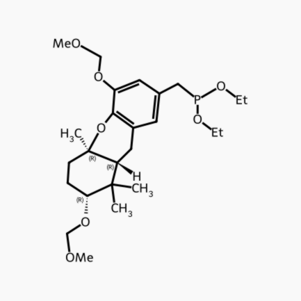 CCOP(Cc1cc2c(c(OCOC)c1)O[C@]1(C)CC[C@@H](OCOC)C(C)(C)[C@H]1C2)OCC